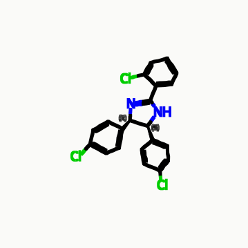 Clc1ccc([C@H]2N=C(c3ccccc3Cl)N[C@H]2c2ccc(Cl)cc2)cc1